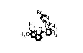 Cc1cc2cccc(C(=O)N3CCCC(C)(C)[C@H]3CNc3ncc(Br)cn3)c2nc1C